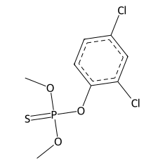 COP(=S)(OC)Oc1ccc(Cl)cc1Cl